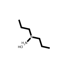 CCCN(N)CCC.Cl